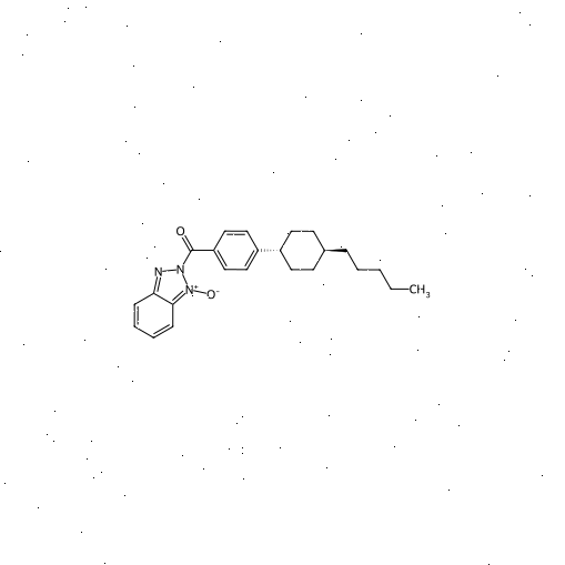 CCCCC[C@H]1CC[C@H](c2ccc(C(=O)n3nc4ccccc4[n+]3[O-])cc2)CC1